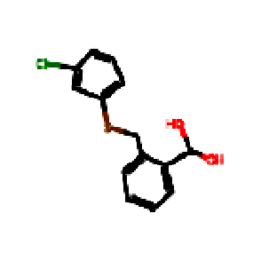 OB(O)c1ccccc1CSc1cccc(Cl)c1